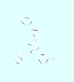 O=C1/C(=N\Nc2nccs2)C(c2cccc(C(F)(F)F)c2)=NN1c1nc(-c2ccccc2)cs1